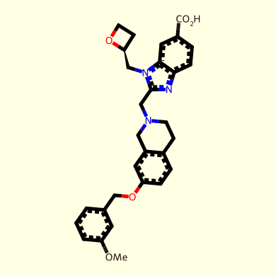 COc1cccc(COc2ccc3c(c2)CN(Cc2nc4ccc(C(=O)O)cc4n2C[C@@H]2CCO2)CC3)c1